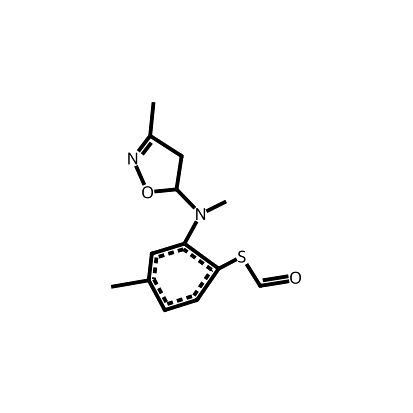 CC1=NOC(N(C)c2cc(C)ccc2SC=O)C1